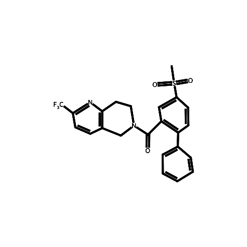 CS(=O)(=O)c1ccc(-c2ccccc2)c(C(=O)N2CCc3nc(C(F)(F)F)ccc3C2)c1